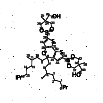 CC(C)CCCC(C)CCC1(CCC(C)CCCC(C)C)Oc2cc(B3OCC(C)(CO)CO3)sc2-c2sc(B3OCC(C)(CO)CO3)cc21